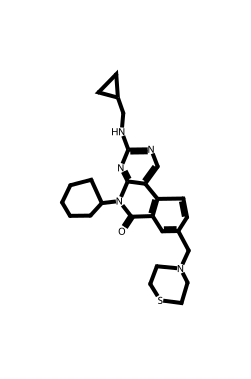 O=c1c2cc(CN3CCSCC3)ccc2c2cnc(NCC3CC3)nc2n1C1CCCCC1